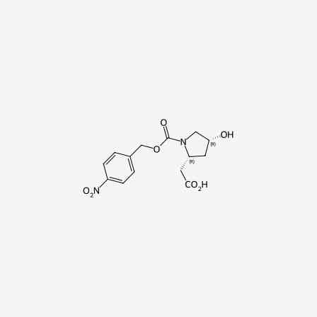 O=C(O)C[C@H]1C[C@@H](O)CN1C(=O)OCc1ccc([N+](=O)[O-])cc1